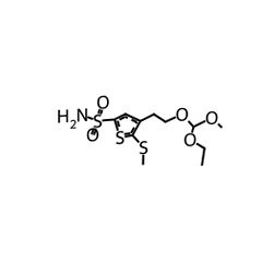 CCOC(OC)OCCc1cc(S(N)(=O)=O)sc1SC